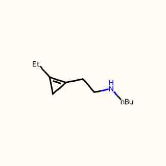 CCCCNCCC1=C(CC)C1